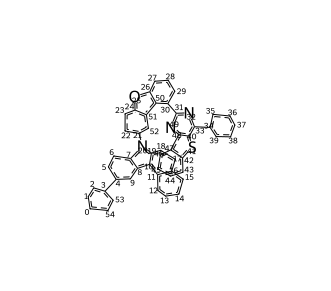 c1ccc(-c2ccc3c(c2)c2c4ccccc4ccc2n3-c2ccc3oc4cccc(-c5nc(-c6ccccc6)c6sc7ccccc7c6n5)c4c3c2)cc1